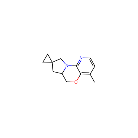 Cc1ccnc2c1OCC1CC3(CC3)CN21